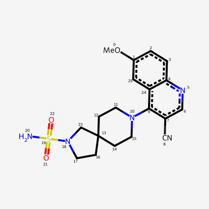 COc1ccc2ncc(C#N)c(N3CCC4(CC3)CCN(S(N)(=O)=O)C4)c2c1